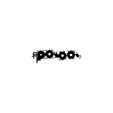 CC[C@H]1CC[C@H](C2CCC(/C=C/[C@H]3CC[C@H](c4ccc(F)c(F)c4)CC3)CC2)CC1